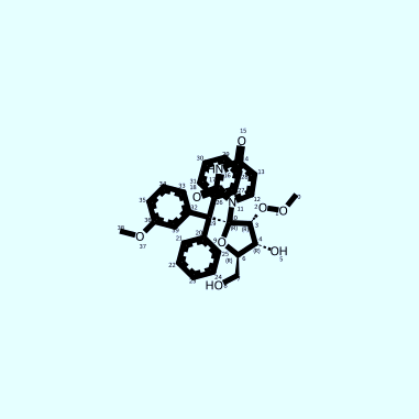 COO[C@@H]1[C@H](O)[C@@H](CO)O[C@]1(n1ccc(=O)[nH]c1=O)C(c1ccccc1)(c1ccccc1)c1cccc(OC)c1